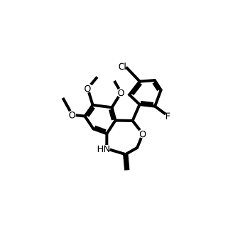 C=C1COC(c2cc(Cl)ccc2F)c2c(cc(OC)c(OC)c2OC)N1